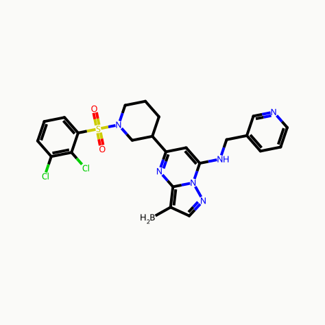 Bc1cnn2c(NCc3cccnc3)cc(C3CCCN(S(=O)(=O)c4cccc(Cl)c4Cl)C3)nc12